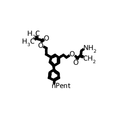 C=C(C)C(=O)OCCc1cc(CCOC(=O)C(=C)CN)cc(-c2ccc(CCCCC)cc2)c1